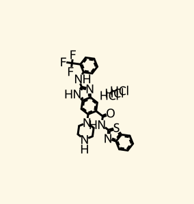 Cl.Cl.Cl.O=C(Nc1nc2ccccc2s1)c1cc2nc(Nc3ccccc3C(F)(F)F)[nH]c2cc1N1CCNCC1